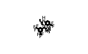 CC[C@@H]1CN(C(c2cc(C(F)(F)F)cc(C(F)(F)F)c2)c2nnn(C)n2)c2cc(C(F)(F)F)ccc2N1